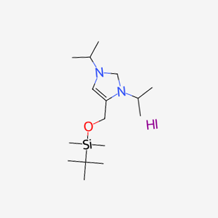 CC(C)N1C=C(CO[Si](C)(C)C(C)(C)C)N(C(C)C)C1.I